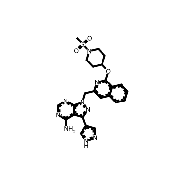 CS(=O)(=O)N1CCC(Oc2nc(Cn3nc(-c4cn[nH]c4)c4c(N)ncnc43)cc3ccccc23)CC1